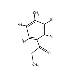 [2H]c1c([2H])c(C(=O)CC)c([2H])c([2H])c1C